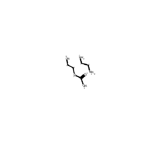 NCCN.O=C(O)OCCO